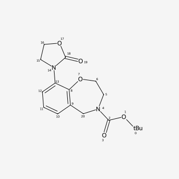 CC(C)(C)OC(=O)N1CCOc2c(cccc2N2CCOC2=O)C1